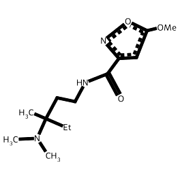 CCC(C)(CCNC(=O)c1cc(OC)on1)N(C)C